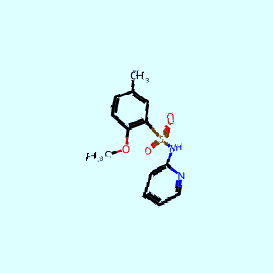 COc1ccc(C)cc1S(=O)(=O)Nc1ccccn1